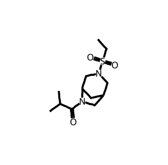 CCS(=O)(=O)N1CC2CC(C1)N(C(=O)C(C)C)C2